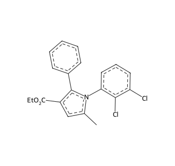 CCOC(=O)c1cc(C)n(-c2cccc(Cl)c2Cl)c1-c1ccccc1